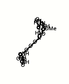 COc1cc(C(=O)NC2CCN(CCCOCCCOCCCOCCNc3cccc4c3C(=O)N(C3CCC(=O)NC3=O)C4=O)CC2)c(F)cc1Nc1ncc2c(n1)N(C1CCCC1)CC(F)(F)C(=O)N2C